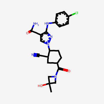 CC1(O)CN(C(=O)C2CCC(n3cc(C(N)=O)c(Nc4ccc(Cl)cc4)n3)C(C#N)C2)C1